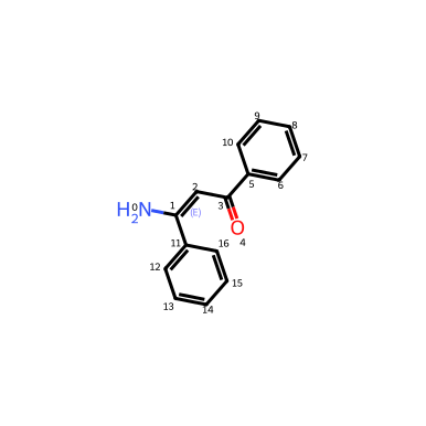 N/C(=C/C(=O)c1ccccc1)c1ccccc1